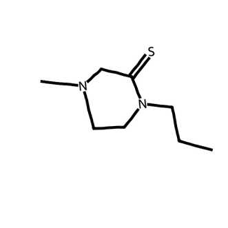 CCCN1CCN(C)CC1=S